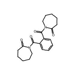 O=C1CCCCCN1C(=O)c1ccccc1C(=O)N1CCCCCC1=O